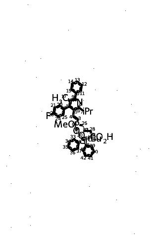 COP(=O)(C=Cc1c(C(C)C)nc(-c2ccccc2)c(C)c1-c1ccc(F)cc1)C[C@H](CC(=O)O)O[Si](c1ccccc1)(c1ccccc1)C(C)(C)C